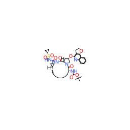 CC(C)(C)OC(=O)N[C@H]1CCCCC/C=C\[C@@H]2C[C@@]2(C(=O)NS(=O)(=O)C2CC2)NC(=O)[C@@H]2C[C@@H](Oc3nc4ccccc4c4c3CCO4)CN2C1=O